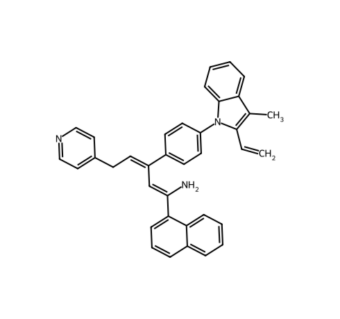 C=Cc1c(C)c2ccccc2n1-c1ccc(C(/C=C(\N)c2cccc3ccccc23)=C/Cc2ccncc2)cc1